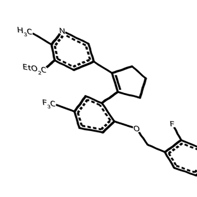 CCOC(=O)c1cc(C2=C(c3cc(C(F)(F)F)ccc3OCc3ccccc3F)CCC2)cnc1C